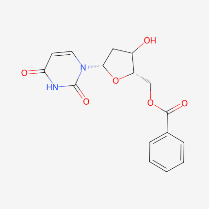 O=C(OC[C@@H]1O[C@H](n2ccc(=O)[nH]c2=O)CC1O)c1ccccc1